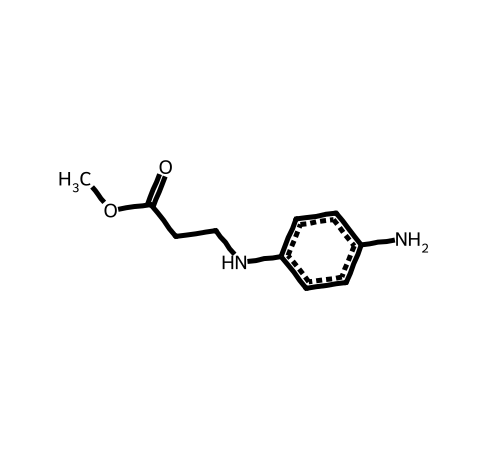 COC(=O)CCNc1ccc(N)cc1